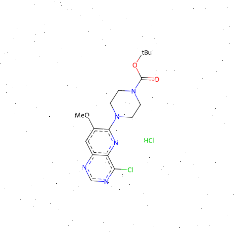 COc1cc2ncnc(Cl)c2nc1N1CCN(C(=O)OC(C)(C)C)CC1.Cl